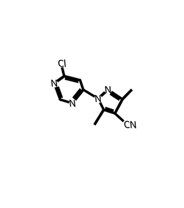 Cc1nn(-c2cc(Cl)ncn2)c(C)c1C#N